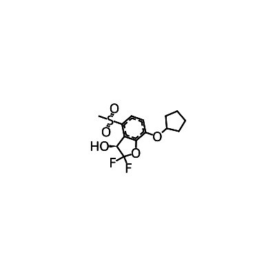 CS(=O)(=O)c1ccc(OC2CCCC2)c2c1[C@H](O)C(F)(F)O2